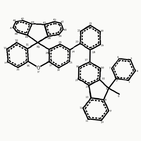 CC1(c2ccccc2)c2ccccc2-c2ccc(-c3ccccc3-c3ccc4c(c3)C3(c5ccccc5O4)c4ccccc4-c4ccccc43)cc21